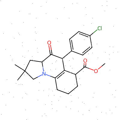 COC(=O)C1CCCC2=C1C(c1ccc(Cl)cc1)C(=O)C1CC(C)(C)CN21